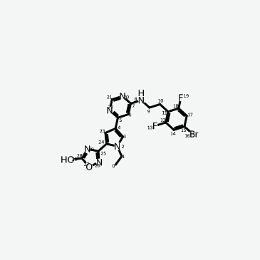 CCn1cc(-c2cc(NCCc3c(F)cc(Br)cc3F)ncn2)cc1-c1noc(O)n1